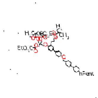 C=C(C)C(=O)OCCCc1cc(-c2ccc(OCC3CCC(C4CCC(CCCCC)CC4)CC3)cc2)ccc1OCC(COC(=O)C(=C)C)(COC(=O)C(=O)OCC)COC(=O)C(=O)OCC